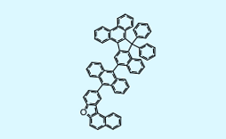 c1ccc(C2(c3ccccc3)c3c(cc(-c4c5ccccc5c(-c5ccc6oc7ccc8ccccc8c7c6c5)c5ccccc45)c4ccccc34)-c3c2c2ccccc2c2ccccc32)cc1